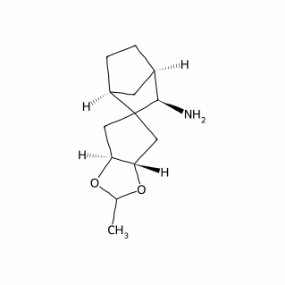 CC1O[C@H]2CC3(C[C@@H]2O1)[C@H]1CC[C@H](C1)[C@H]3N